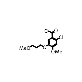 COCCCOc1cc(C(=O)Cl)c(Cl)cc1OC